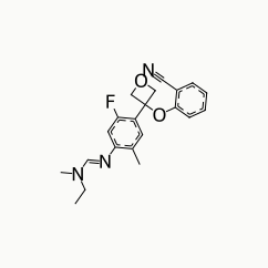 CCN(C)C=Nc1cc(F)c(C2(Oc3ccccc3C#N)COC2)cc1C